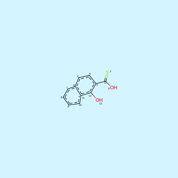 OC(=S)c1ccc2ccccc2c1O